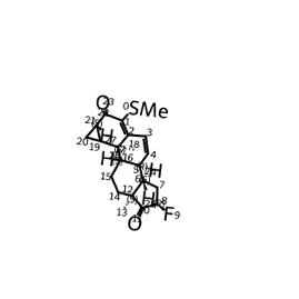 CSC1=C2C=C[C@H]3[C@@H]4C[C@@H](F)C(=O)[C@@]4(C)CC[C@@H]3[C@@]2(C)C2C[C@@H]2C1=O